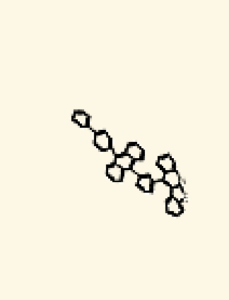 c1ccc(-c2ccc(-c3c4ccccc4c(-c4cccc(-c5c6ccccc6nc6sc7ccccc7c56)c4)c4ccccc34)cc2)cc1